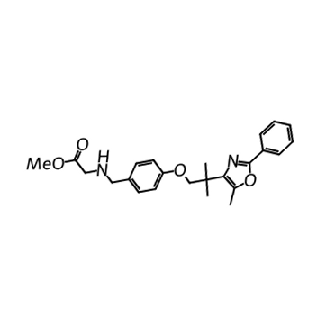 COC(=O)CNCc1ccc(OCC(C)(C)c2nc(-c3ccccc3)oc2C)cc1